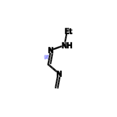 C=N/C=N\NCC